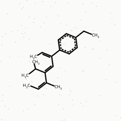 C\C=C(C)/C(=C/C(=C\C)c1ccc(CC)cc1)C(C)C